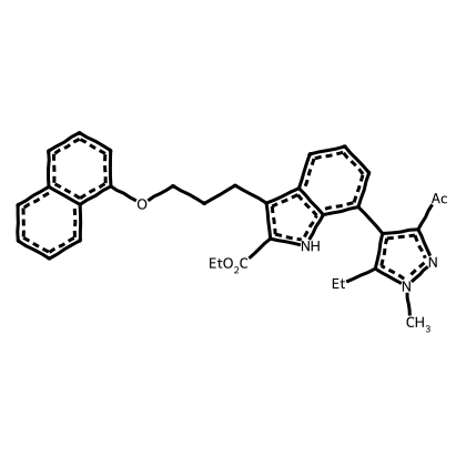 CCOC(=O)c1[nH]c2c(-c3c(C(C)=O)nn(C)c3CC)cccc2c1CCCOc1cccc2ccccc12